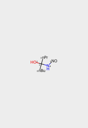 CCCCC(O)(CCC)NN=O